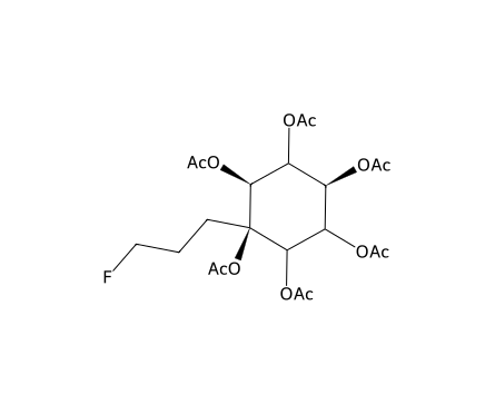 CC(=O)OC1C(OC(C)=O)[C@@](CCCF)(OC(C)=O)[C@@H](OC(C)=O)C(OC(C)=O)[C@H]1OC(C)=O